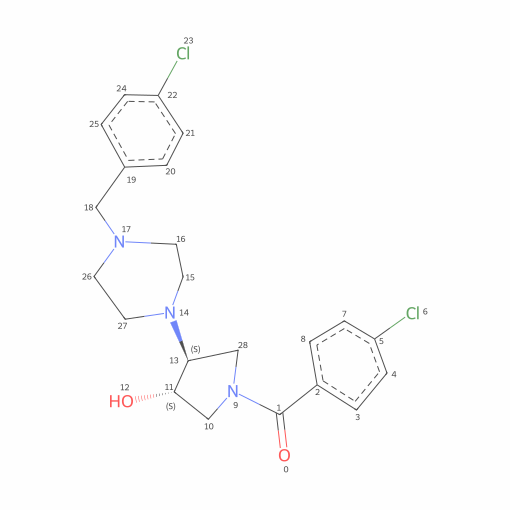 O=C(c1ccc(Cl)cc1)N1C[C@H](O)[C@@H](N2CCN(Cc3ccc(Cl)cc3)CC2)C1